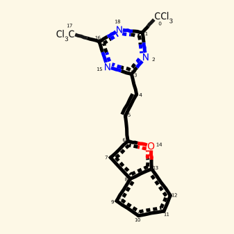 ClC(Cl)(Cl)c1nc(C=Cc2cc3ccccc3o2)nc(C(Cl)(Cl)Cl)n1